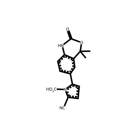 CC1(C)OC(=O)Nc2ccc(-c3ccc(C#N)n3C(=O)O)cc21